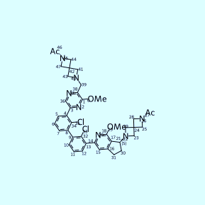 COc1nc(-c2cccc(-c3cccc(-c4cc5c(c(OC)n4)[C@@H](N4CC6(CN(C(C)=O)C6)C4)CC5)c3Cl)c2Cl)cnc1CN1CC2(C1)CN(C(C)=O)C2